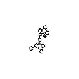 C1=CC2=C(CC1)C1(c3ccccc3-c3ccccc32)c2ccccc2-c2c(-c3ccc(N(c4ccc(-c5ccccc5)cc4)c4cccc5c4oc4ccccc45)cc3)cccc21